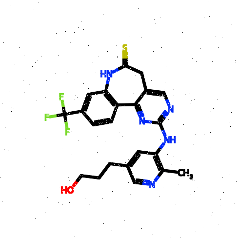 Cc1ncc(CCCO)cc1Nc1ncc2c(n1)-c1ccc(C(F)(F)F)cc1NC(=S)C2